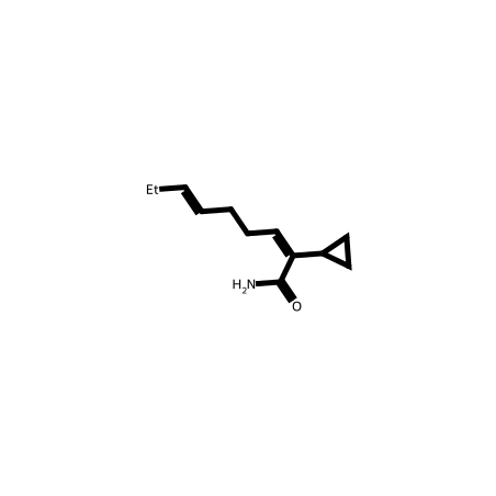 CCC=CCCC=C(C(N)=O)C1CC1